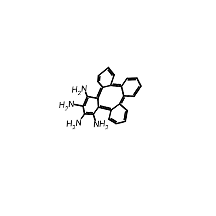 Nc1c(N)c(N)c2/c(c1N)=c1/cccc/c1=c1\cccc\c1=c1/cccc/c1=2